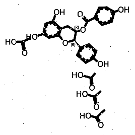 CC(=O)O.CC(=O)O.CC(=O)O.CC(=O)O.O=C(O[C@@H]1Cc2c(O)cc(O)cc2O[C@@H]1c1ccc(O)cc1)c1ccc(O)cc1